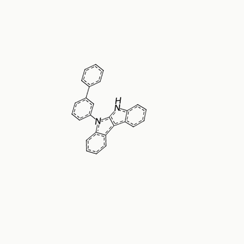 c1ccc(-c2cccc(-n3c4ccccc4c4c5ccccc5[nH]c43)c2)cc1